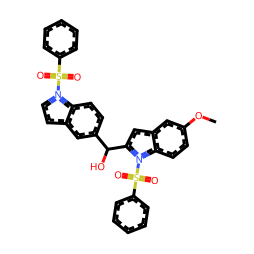 COc1ccc2c(c1)cc(C(O)c1ccc3c(ccn3S(=O)(=O)c3ccccc3)c1)n2S(=O)(=O)c1ccccc1